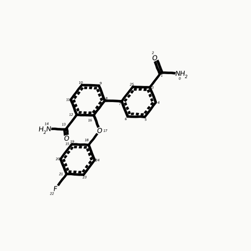 NC(=O)c1cccc(-c2cccc(C(N)=O)c2Oc2ccc(F)cc2)c1